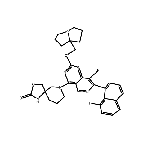 O=C1NC2(CCCN(c3nc(OCC45CCCN4CCC5)nc4c(F)c(-c5cccc6cccc(F)c56)ncc34)C2)CO1